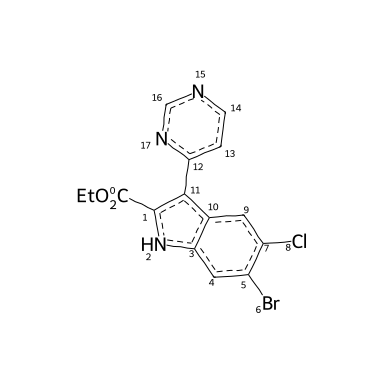 CCOC(=O)c1[nH]c2cc(Br)c(Cl)cc2c1-c1ccncn1